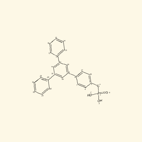 O=P(O)(O)Oc1ccc(-c2cc(-c3ccccc3)cc(-c3ccccc3)c2)cc1